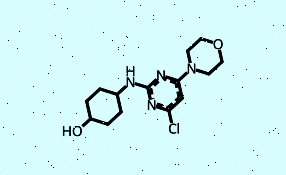 OC1CCC(Nc2nc(Cl)cc(N3CCOCC3)n2)CC1